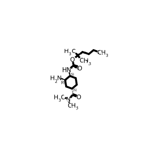 CCCCC(C)(C)OC(=O)N[C@H]1CC[C@H](C(=O)N(C)C)C[C@H]1N